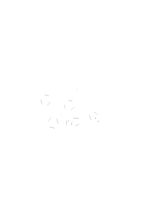 CC(C)(c1ccccc1)c1cc(CP(c2cc[nH]c2)c2cc[nH]c2)c(CP(C(C)(C)C)C(C)(C)C)cc1C(C)(C)c1ccccc1